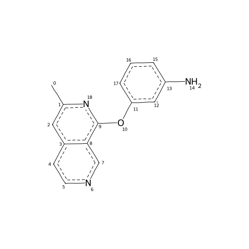 Cc1cc2ccncc2c(Oc2[c]c(N)ccc2)n1